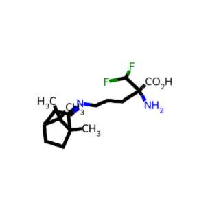 CC12CCC(CC1=NCCCC(N)(C(=O)O)C(F)F)C2(C)C